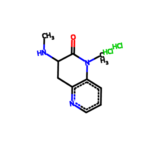 CNC1Cc2ncccc2N(C)C1=O.Cl.Cl